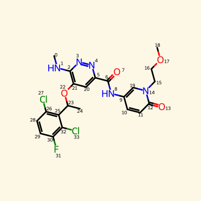 CNc1nnc(C(=O)Nc2ccc(=O)n(CCOC)c2)cc1OC(C)c1c(Cl)ccc(F)c1Cl